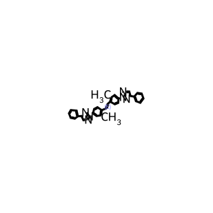 Cc1cc(-n2ncc(-c3ccccc3)n2)ccc1/C=C/c1ccc(-n2ncc(-c3ccccc3)n2)cc1C